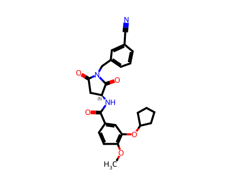 COc1ccc(C(=O)N[C@H]2CC(=O)N(Cc3cccc(C#N)c3)C2=O)cc1OC1CCCC1